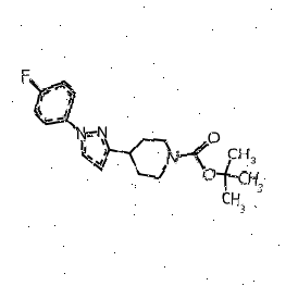 CC(C)(C)OC(=O)N1CCC(c2ccn(-c3ccc(F)cc3)n2)CC1